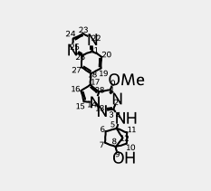 COc1nc(NC23CCC(O)(CC2)C3)nn2ccc(-c3ccc4nccnc4c3)c12